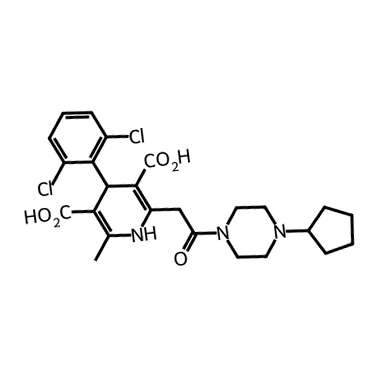 CC1=C(C(=O)O)C(c2c(Cl)cccc2Cl)C(C(=O)O)=C(CC(=O)N2CCN(C3CCCC3)CC2)N1